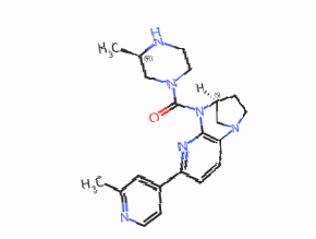 Cc1cc(-c2ccc3c(n2)N(C(=O)N2CCN[C@H](C)C2)[C@H]2CCN3C2)ccn1